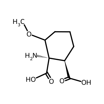 COC1CCC[C@@H](C(=O)O)[C@@]1(N)C(=O)O